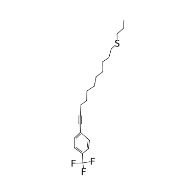 CCCSCCCCCCCCCC#Cc1ccc(C(F)(F)F)cc1